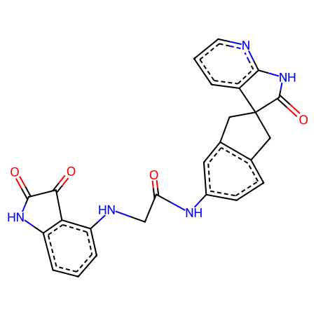 O=C(CNc1cccc2c1C(=O)C(=O)N2)Nc1ccc2c(c1)CC1(C2)C(=O)Nc2ncccc21